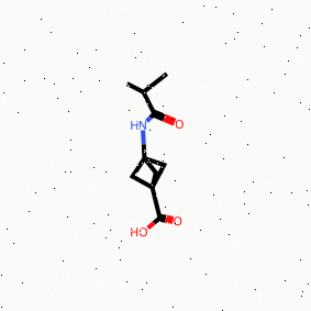 CC(C)C(=O)NC12CC(C(=O)O)(C1)C2